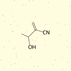 C=C(C#N)C(C)O